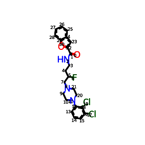 O=C(NCCC(F)CN1CCN(c2cccc(Cl)c2Cl)CC1)c1cc2ccccc2o1